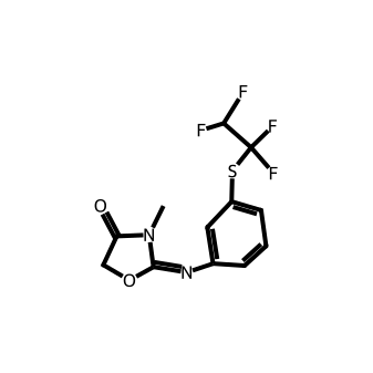 CN1C(=O)COC1=Nc1cccc(SC(F)(F)C(F)F)c1